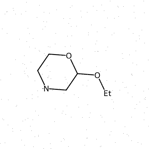 CCOC1C[N]CCO1